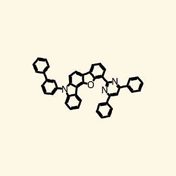 c1ccc(-c2cccc(-n3c4ccccc4c4c5oc6c(-c7nc(-c8ccccc8)cc(-c8ccccc8)n7)cccc6c5ccc43)c2)cc1